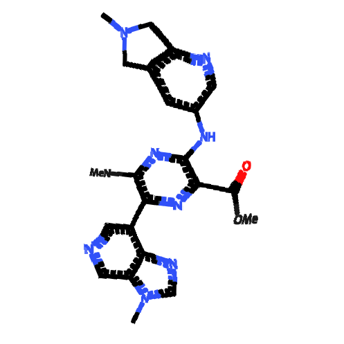 CNc1nc(Nc2cnc3c(c2)CN(C)C3)c(C(=O)OC)nc1-c1cncc2c1ncn2C